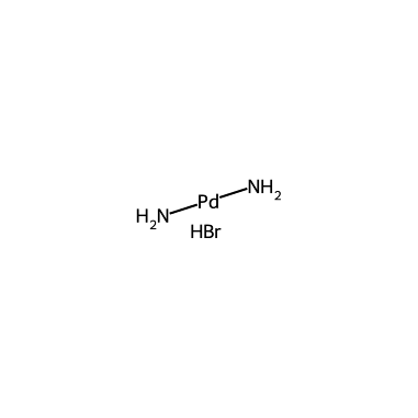 Br.[NH2][Pd][NH2]